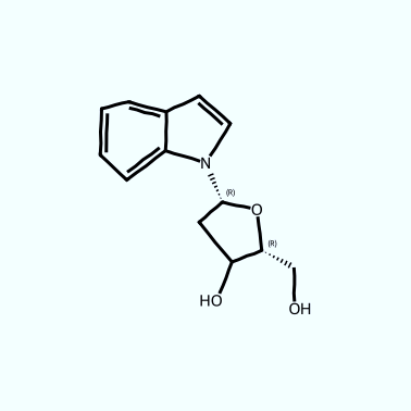 OC[C@H]1O[C@@H](n2ccc3ccccc32)CC1O